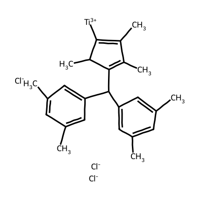 CC1=[C]([Ti+3])C(C)C(C(c2cc(C)cc(C)c2)c2cc(C)cc(C)c2)=C1C.[Cl-].[Cl-].[Cl-]